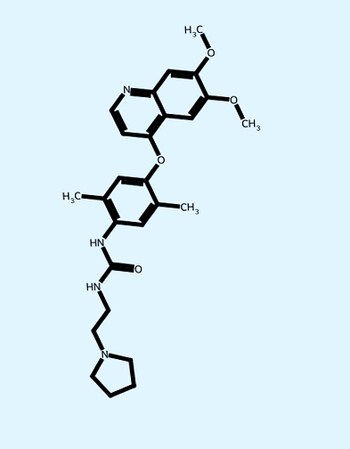 COc1cc2nccc(Oc3cc(C)c(NC(=O)NCCN4CCCC4)cc3C)c2cc1OC